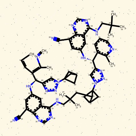 C=N/C(C)=C(\C=C/C)[C@H](Nc1cc(C#N)c2ncnc(NCC(C)(C)CC3C4CC3(n3cc([C@H](Nc5cc(C#N)c6ncnc(NCC(C)(C)C)c6c5)c5cccnc5C)nn3)C4)c2c1)c1cn(C23CC(C2)C3)nn1